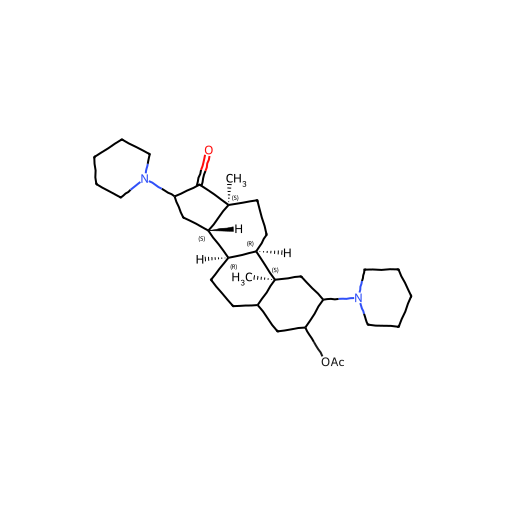 CC(=O)OC1CC2CC[C@@H]3[C@@H](CC[C@]4(C)C(=O)C(N5CCCCC5)C[C@@H]34)[C@@]2(C)CC1N1CCCCC1